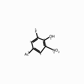 CC(=O)c1cc(F)c(O)c([N+](=O)[O-])c1